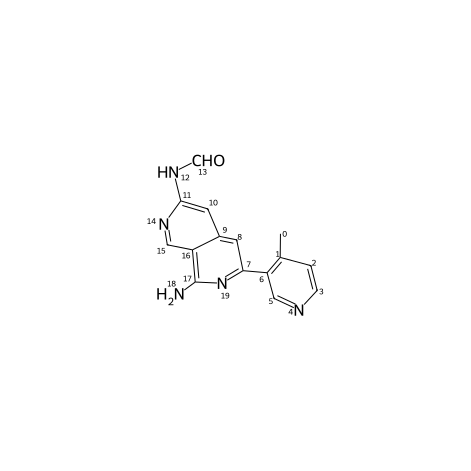 Cc1ccncc1-c1cc2cc(NC=O)ncc2c(N)n1